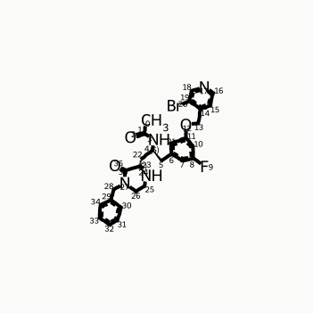 CC(=O)N[C@@H](Cc1cc(F)cc(OCc2ccncc2Br)c1)C[C@@H]1NCCN(Cc2ccccc2)C1=O